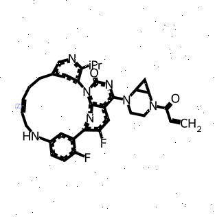 C=CC(=O)N1CCN(c2nc(=O)n3c4nc(c(F)cc24)-c2cc(ccc2F)NC/C=C\CCc2cnc(C(C)C)c-3c2)C2CC21